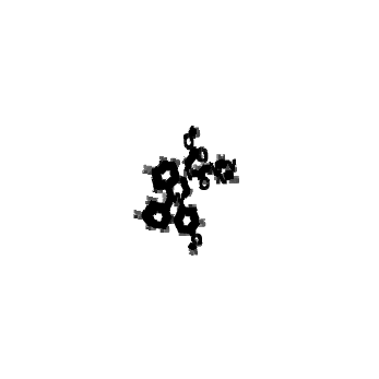 COC(=O)CN(CCN(c1ccc(OC)cc1)C(c1ccccc1)c1ccccc1)C(=O)Cn1cncn1